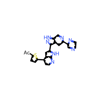 CC(=O)c1ccc(-c2ccnc3[nH]c(-c4n[nH]c5cnc(-c6cnccn6)cc45)cc23)s1